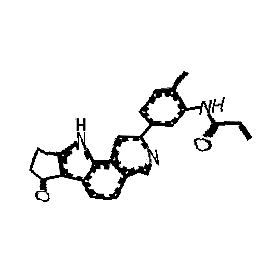 C=CC(=O)Nc1cc(-c2cc3c(ccc4c5c([nH]c43)CCC5=O)cn2)ccc1C